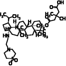 CC(C)[C@@H]1CC[C@]2(NCCN3CCS(=O)(=O)CC3)CC[C@]3(C)[C@H](CC[C@@H]4[C@@]5(C)CC[C@H](OC(=O)CC(C)(C)CC(=O)O)C(C)(C)[C@@H]5CC[C@]43C)[C@@H]12